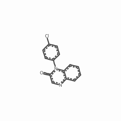 O=c1cnc2ccccc2n1-c1ccc(Cl)cc1